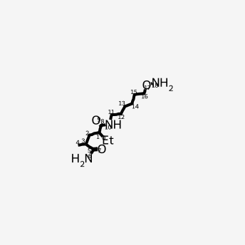 CCC(CC(C)C(N)=O)C(=O)NCCCCCCON